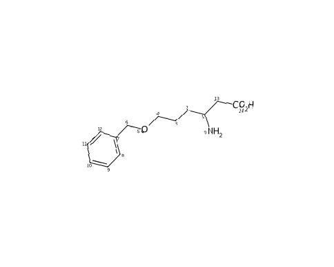 NC(CCCOCc1ccccc1)CC(=O)O